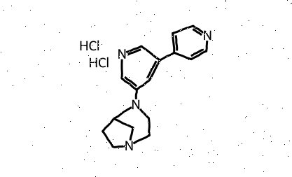 Cl.Cl.c1cc(-c2cncc(N3CCN4CCC3C4)c2)ccn1